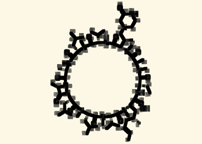 C/C=C/C[C@@H](C)[C@@H](O)[C@H]1C(=O)N[C@@H](CC)C(=O)N(C)[C@H](C)C(=O)N(C)[C@@H]([C@H](C)CN2CCNC(=O)C2)C(=O)N[C@@H](C(C)C)C(=O)N(C)[C@@H](CC(C)C)C(=O)N[C@@H](C)C(=O)N2[C@H](C)C(=O)N2[C@@H](CC(C)C)C(=O)N(C)[C@@H](CC(C)C)C(=O)N(C)[C@@H](C(C)C)C(=O)N1C